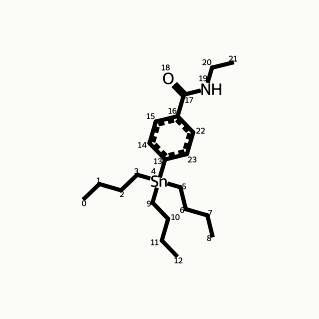 CCC[CH2][Sn]([CH2]CCC)([CH2]CCC)[c]1ccc(C(=O)NCC)cc1